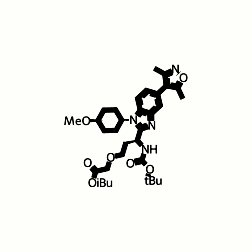 CO[C@H]1CC[C@H](n2c([C@H](CCOCC(=O)OCC(C)C)NC(=O)OC(C)(C)C)nc3cc(-c4c(C)noc4C)ccc32)CC1